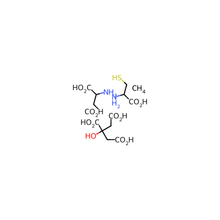 C.NC(CC(=O)O)C(=O)O.NC(CS)C(=O)O.O=C(O)CC(O)(CC(=O)O)C(=O)O